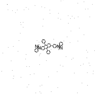 Cc1nc2ccccc2n1-c1ccc(-c2ccc3c(-c4ccccc4)c4cc(-n5c(C)nc6ccccc65)ccc4c(-c4ccccc4)c3c2)cc1